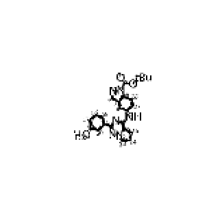 CC(C)(C)OC(=O)n1ncc2cc(Nc3nc(-c4cccc(O)c4)nn4cccc34)ccc21